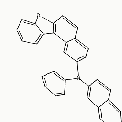 c1ccc(N(c2ccc3ccccc3c2)c2ccc3ccc4oc5ccccc5c4c3c2)cc1